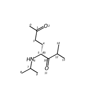 CC(=O)CC[C@@H](NC(C)C)C(=O)C(C)C